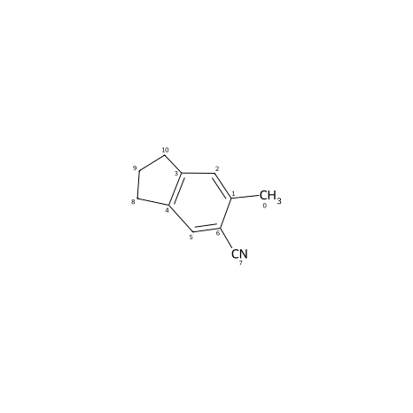 Cc1cc2c(cc1C#N)CCC2